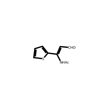 CC(=O)NC(=C[C]=O)c1cccs1